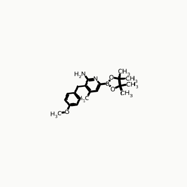 COc1ccc(Cc2c(C)cc(B3OC(C)(C)C(C)(C)O3)nc2N)cc1